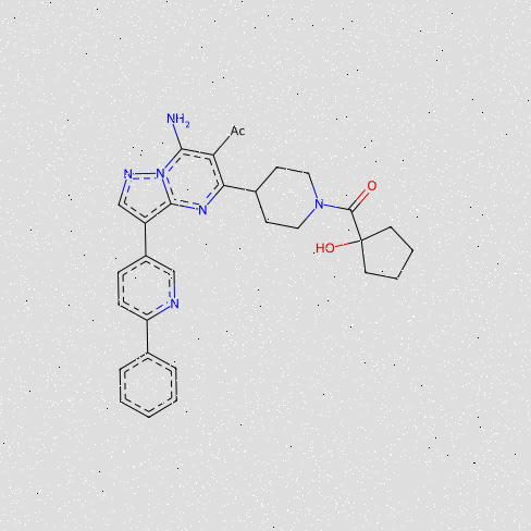 CC(=O)c1c(C2CCN(C(=O)C3(O)CCCC3)CC2)nc2c(-c3ccc(-c4ccccc4)nc3)cnn2c1N